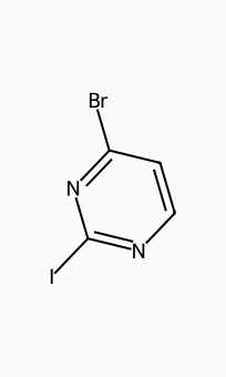 Brc1ccnc(I)n1